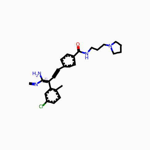 C=N/C(N)=C(/C#Cc1ccc(C(=O)NCCCN2CCCC2)cc1)c1cc(Cl)ccc1C